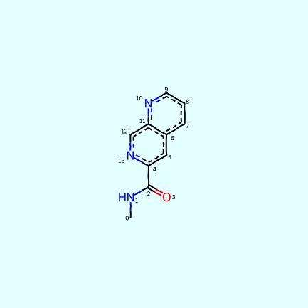 CNC(=O)c1cc2cccnc2cn1